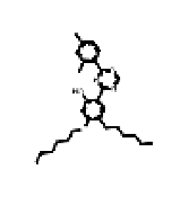 CCCCCCOc1cc(O)c(-c2ncnc(-c3ccc(C)cc3C)n2)cc1CCCCCC